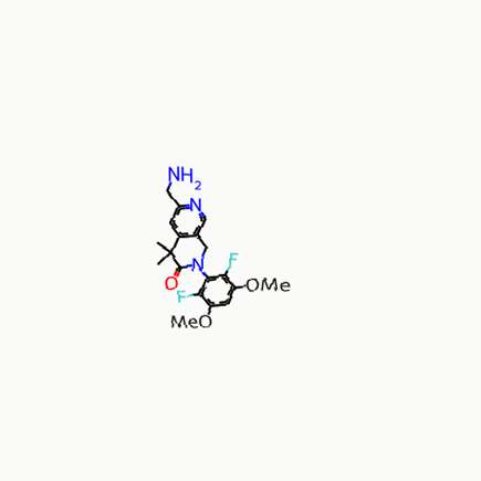 COc1cc(OC)c(F)c(N2Cc3cnc(CN)cc3C(C)(C)C2=O)c1F